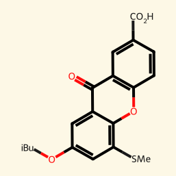 CCC(C)Oc1cc(SC)c2oc3ccc(C(=O)O)cc3c(=O)c2c1